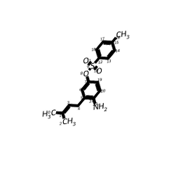 CC(C)=CCc1cc(OS(=O)(=O)c2ccc(C)cc2)ccc1N